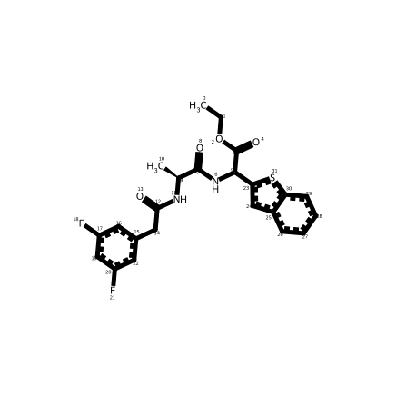 CCOC(=O)C(NC(=O)[C@H](C)NC(=O)Cc1cc(F)cc(F)c1)c1cc2ccccc2s1